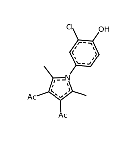 CC(=O)c1c(C(C)=O)c(C)n(-c2ccc(O)c(Cl)c2)c1C